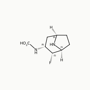 O=C(O)N[C@@H]1C[C@H]2CC[C@H](N2)[C@@H]1F